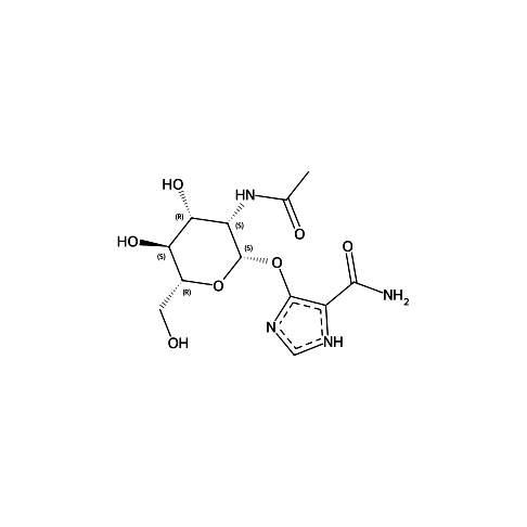 CC(=O)N[C@@H]1[C@H](Oc2nc[nH]c2C(N)=O)O[C@H](CO)[C@@H](O)[C@@H]1O